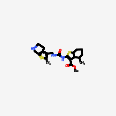 CC1CCCC2SC(NC(=O)NCc3c(C(F)(F)F)sc4c3CCNC4)=C(C(=O)OC(C)(C)C)C12